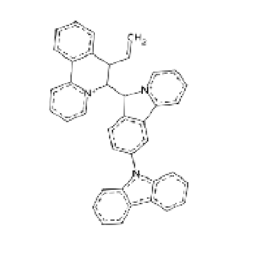 C=CC1c2ccccc2-c2cccc[n+]2C1C1c2ccc(-n3c4ccccc4c4ccccc43)cc2-c2cccc[n+]21